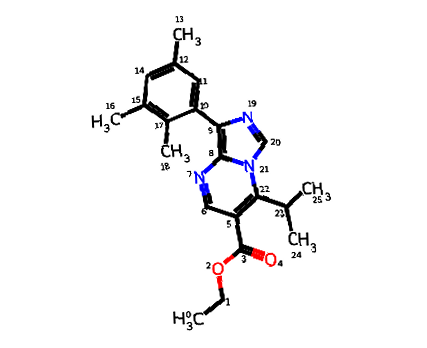 CCOC(=O)c1cnc2c(-c3cc(C)cc(C)c3C)ncn2c1C(C)C